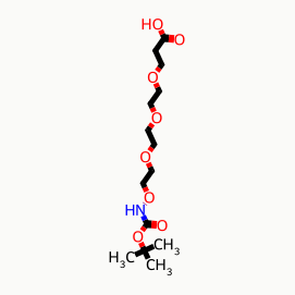 CC(C)(C)OC(=O)NOCCOCCOCCOCCC(=O)O